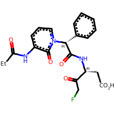 CCC(=O)Nc1cccn([C@@H](C(=O)N[C@H](CC(=O)O)C(=O)CF)c2ccccc2)c1=O